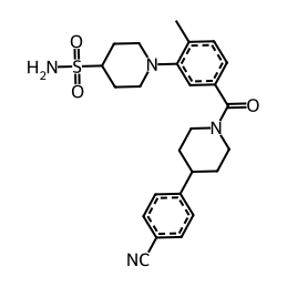 Cc1ccc(C(=O)N2CCC(c3ccc(C#N)cc3)CC2)cc1N1CCC(S(N)(=O)=O)CC1